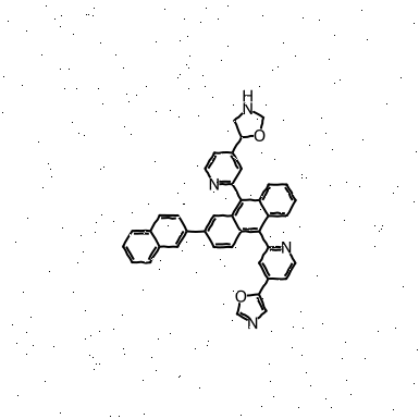 c1ccc2cc(-c3ccc4c(-c5cc(-c6cnco6)ccn5)c5ccccc5c(-c5cc(C6CNCO6)ccn5)c4c3)ccc2c1